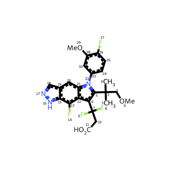 COCC(C)(C)c1c(C(F)(F)CC(=O)O)c2c(F)c3[nH]ncc3cc2n1-c1ccc(F)c(OC)c1